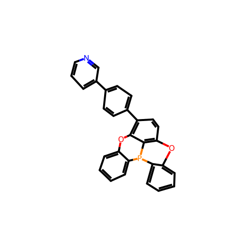 c1cncc(-c2ccc(-c3ccc4c5c3Oc3ccccc3P5c3ccccc3O4)cc2)c1